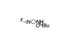 CC(C)(C)OC(=O)N[C@H]1CC[C@H](N2CC(CF)C2)CC1